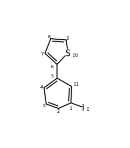 Ic1cccc(-c2cccs2)c1